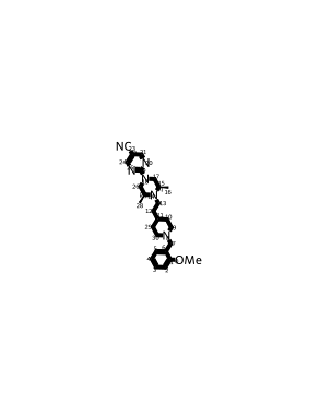 COc1ccccc1CN1CCC(CCN2[C@H](C)CN(c3ncc(C#N)cn3)C[C@@H]2C)CC1